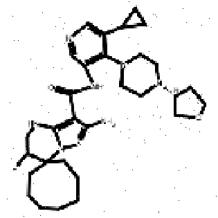 Nc1nn2c(c1C(=O)Nc1cncc(C3CC3)c1N1CCN([C@@H]3CCOC3)CC1)NCC(F)C21CCCCCCC1